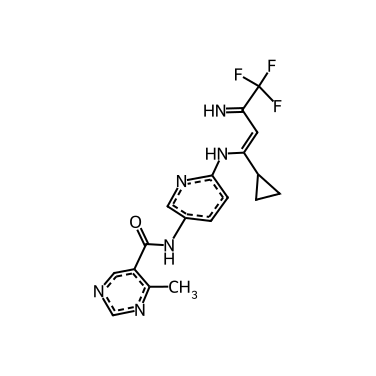 Cc1ncncc1C(=O)Nc1ccc(N/C(=C\C(=N)C(F)(F)F)C2CC2)nc1